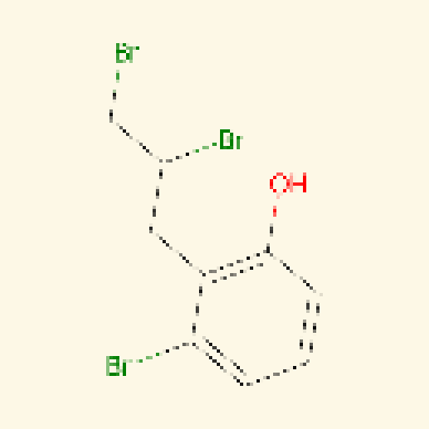 Oc1cccc(Br)c1CC(Br)CBr